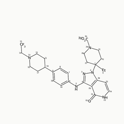 CCC1(n2nc(Nc3ccc(C4CCN(CC(F)(F)F)CC4)cc3)c3c(=O)[nH]ccc32)CCN(C(=O)O)CC1